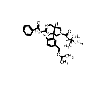 CC(C)OCc1ccc(F)c([C@]23CN(C(=O)OC(C)(C)C)C[C@@H]2CN=C(NC(=O)c2ccccc2)S3)c1